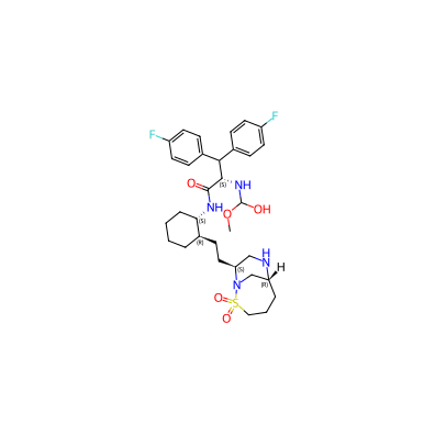 COC(O)N[C@H](C(=O)N[C@H]1CCCC[C@@H]1CC[C@H]1CN[C@@H]2CCCS(=O)(=O)N1C2)C(c1ccc(F)cc1)c1ccc(F)cc1